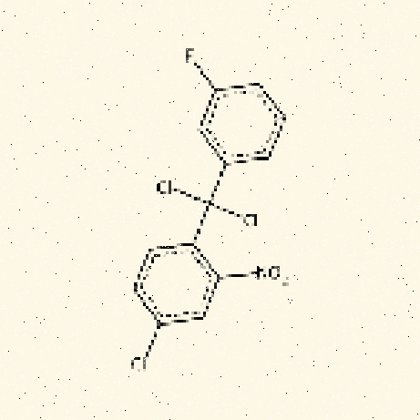 O=[N+]([O-])c1cc(Cl)ccc1C(Cl)(Cl)c1cccc(F)c1